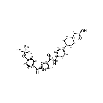 O=C(O)CC1CCC(c2ccc(NC(=O)c3nnc(Nc4ccc(OC(F)(F)F)cc4)o3)cc2)CC1